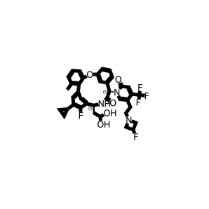 Cc1cccc2c1-c1cc(C3CC3)c(F)c(c1)[C@H](CC(O)O)NC(=O)[C@@H](n1cc(CCN3CC(F)C3)c(C(F)(F)F)cc1=O)c1cccc(c1)O2